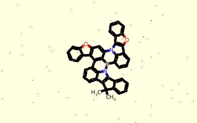 CC1(C)c2ccccc2-c2c1c1cccc3c1n2B1c2c(cc4oc5ccccc5c4c2-3)-n2c3c1cccc3c1oc3ccccc3c12